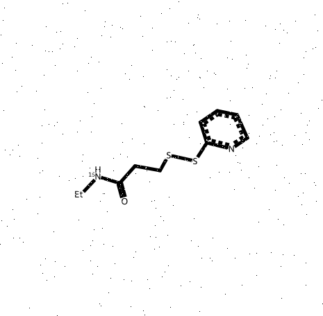 [13CH3][13CH2][15NH]C(=O)CCSSc1ccccn1